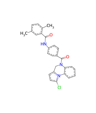 Cc1ccc(C)c(C(=O)Nc2ccc(C(=O)N3Cc4ccc(Cl)n4-c4ccccc43)cc2)c1